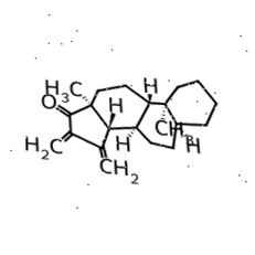 C=C1C(=C)[C@H]2[C@@H]3CC[C@@H]4CCCC[C@]4(C)[C@H]3CC[C@]2(C)C1=O